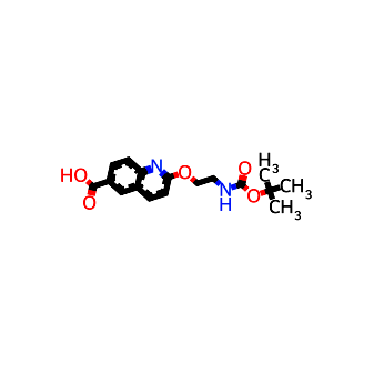 CC(C)(C)OC(=O)NCCOc1ccc2cc(C(=O)O)ccc2n1